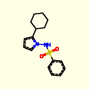 O=S(=O)(Nn1cccc1C1CCCCC1)c1ccccc1